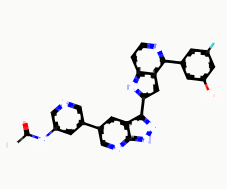 CC(C)C(=O)Nc1cncc(-c2cnc3[nH]nc(-c4cc5c(-c6cc(O)cc(F)c6)nccc5[nH]4)c3c2)c1